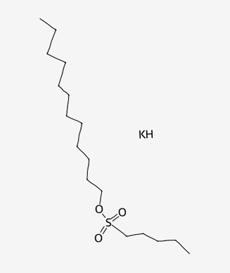 CCCCCCCCCCCCOS(=O)(=O)CCCCC.[KH]